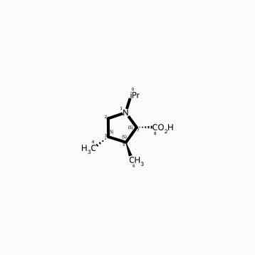 CC(C)N1C[C@@H](C)[C@H](C)[C@H]1C(=O)O